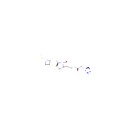 C[C@@H](NC(=O)Cn1cnnn1)[C@H]1C(=O)N2C(C(=O)O)=C(SC3CN(S(N)(=O)=O)C3)[C@H](C)[C@H]12